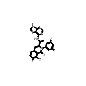 CC(Nc1ncnc2[nH]cnc12)c1cc2ccc(F)c(Cl)c2c(=O)n1-c1cc(F)cc(F)c1